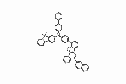 CC1(C)c2ccccc2-c2ccc(N(c3ccc(-c4ccccc4)cc3)c3ccc(-c4cccc5c4oc4c6ccccc6c(-c6ccc7ccccc7c6)cc54)cc3)cc21